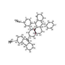 N#Cc1ccc(-c2c3ccccc3c(-c3ccccc3)c3ccccc23)c(-c2cccc(-n3c4ccccc4c4cc(C#N)ccc43)c2)c1